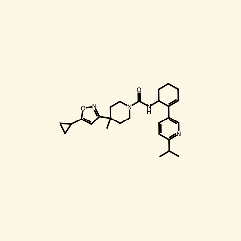 CC(C)c1ccc(C2=CCCCC2NC(=O)N2CCC(C)(c3cc(C4CC4)on3)CC2)cn1